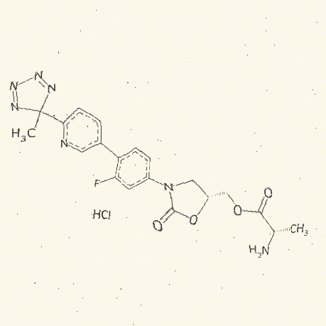 C[C@H](N)C(=O)OC[C@H]1CN(c2ccc(-c3ccc(C4(C)N=NN=N4)nc3)c(F)c2)C(=O)O1.Cl